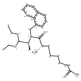 CCOC(OCC)[C@H](C)N(Cc1cccc2cccnc12)C(=O)[C@@H](N)CCCCNC(=O)O